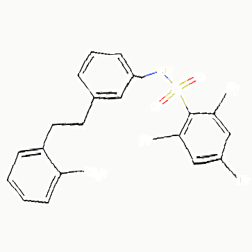 CC(C)c1cc(C(C)C)c(S(=O)(=O)Nc2cccc(CCc3ccccc3C(=O)O)c2)c(C(C)C)c1